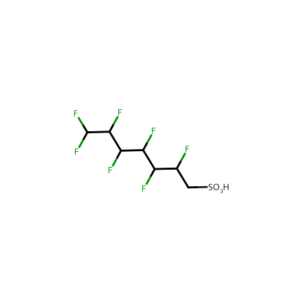 O=S(=O)(O)CC(F)C(F)C(F)C(F)C(F)C(F)F